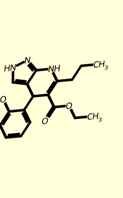 CCCC1=C(C(=O)OCC)C(c2ccccc2O)c2c[nH]nc2N1